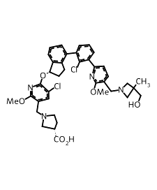 COc1nc(-c2cccc(-c3cccc4c3CC[C@@H]4Oc3nc(OC)c(CN4CC[C@H](C(=O)O)C4)cc3Cl)c2Cl)ccc1CN1CC(C)(CO)C1